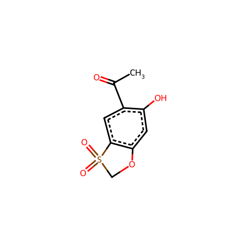 CC(=O)c1cc2c(cc1O)OCS2(=O)=O